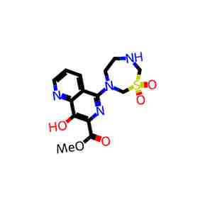 COC(=O)c1nc(N2CCNCS(=O)(=O)C2)c2cccnc2c1O